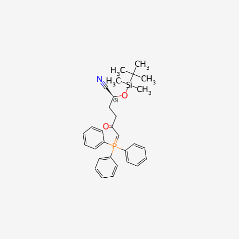 CC(C)(C)[Si](C)(C)O[C@H](C#N)CCC(=O)C=P(c1ccccc1)(c1ccccc1)c1ccccc1